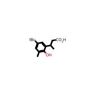 Cc1cc(C(C)(C)C)cc(C(C)CC(=O)O)c1O